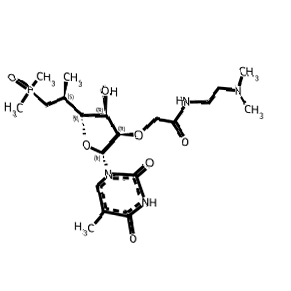 Cc1cn([C@@H]2O[C@H]([C@H](C)CP(C)(C)=O)[C@@H](O)[C@H]2OCC(=O)NCCN(C)C)c(=O)[nH]c1=O